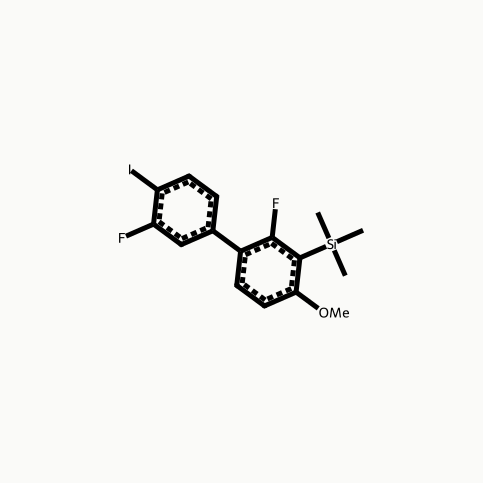 COc1ccc(-c2ccc(I)c(F)c2)c(F)c1[Si](C)(C)C